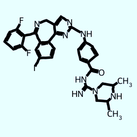 CC1CN(C(=N)NC(=O)c2ccc(Nc3ncc4c(n3)-c3ccc(I)cc3C(c3c(F)cccc3F)=NC4)cc2)CC(C)N1